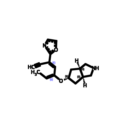 C#C/C(=C\C(=C/C)O[C@@H]1C[C@H]2CNC[C@H]2C1)c1ncco1